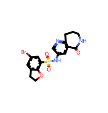 O=C1NCCCc2ncc(NS(=O)(=O)c3cc(Br)cc4c3OCC4)cc21